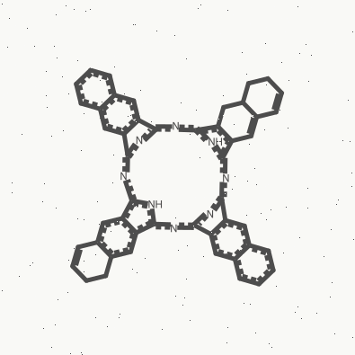 C1=Cc2cc3c4nc5nc(nc6[nH]c(nc7nc(nc([nH]4)c3cc2CC1)-c1cc2ccccc2cc1-7)c1c6CC2CCC=CC2=C1)-c1cc2ccccc2cc1-5